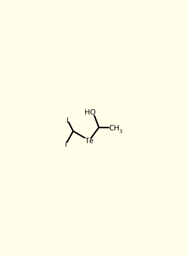 CC(O)[Te]C(I)I